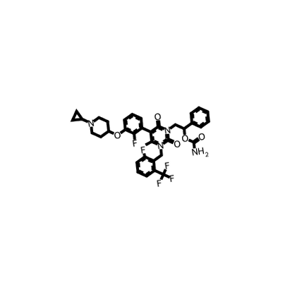 Cc1c(-c2cccc(OC3CCN(C4CC4)CC3)c2F)c(=O)n(CC(OC(N)=O)c2ccccc2)c(=O)n1Cc1c(F)cccc1C(F)(F)F